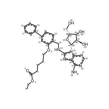 CCOC(=O)CCCCOc1cc(-c2ccccc2)ccc1CNc1nc2c(N)ncnc2n1[C@@H]1O[C@H](CO)[C@@H](O)[C@H]1O